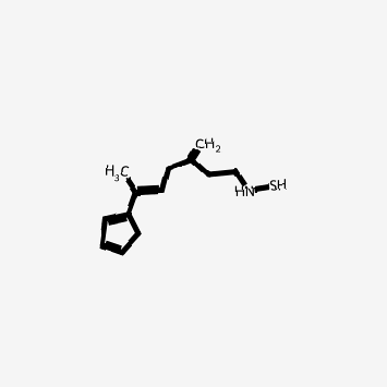 C=C(C/C=C(\C)C1=CC=CC1)CCNS